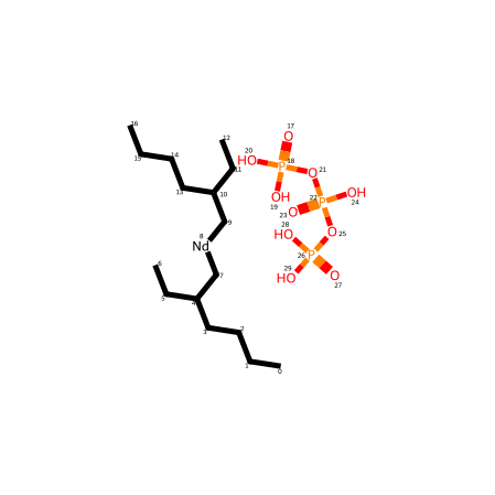 CCCCC(CC)[CH2][Nd][CH2]C(CC)CCCC.O=P(O)(O)OP(=O)(O)OP(=O)(O)O